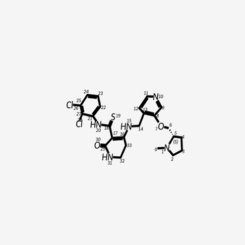 CN1CCC[C@H]1COc1cnccc1CNC1=C(C(=S)Nc2cccc(Cl)c2Cl)C(=O)NCC1